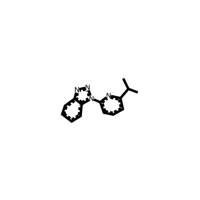 CC(C)c1cccc(-n2nnc3ccccc32)n1